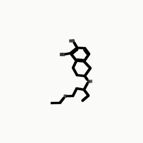 CCOCCC(CC)NC1CCc2c(ccc(O)c2O)C1